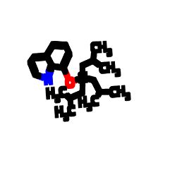 CC(C)C[Si](CC(C)C)(CC(C)C)Oc1cccc2cccnc12